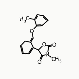 Cc1ccccc1OC=C1CC=CC=C1C1OC(=O)N(C)C1=O